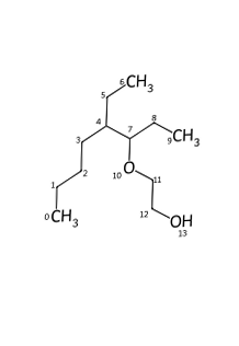 CCCCC(CC)C(CC)OCCO